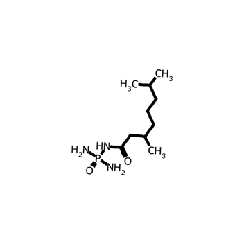 CC(C)CCCC(C)CC(=O)NP(N)(N)=O